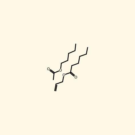 C=CCOC(=O)CCCCC.CCCCCOC(C)=O